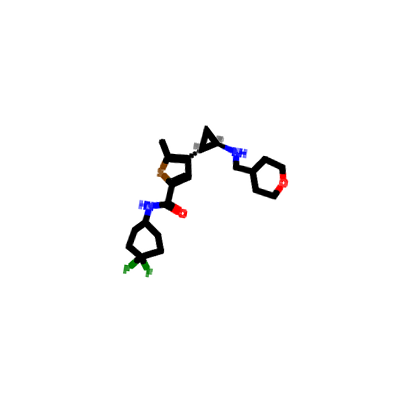 Cc1sc(C(=O)NC2CCC(F)(F)CC2)cc1[C@@H]1C[C@H]1NCC1CCOCC1